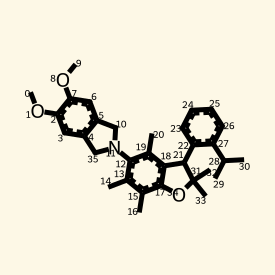 COc1cc2c(cc1OC)CN(c1c(C)c(C)c3c(c1C)C(c1ccccc1C(C)C)C(C)(C)O3)C2